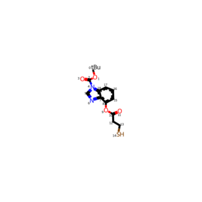 CC(C)(C)OC(=O)n1cnc2c(OC(=O)CCS)cccc21